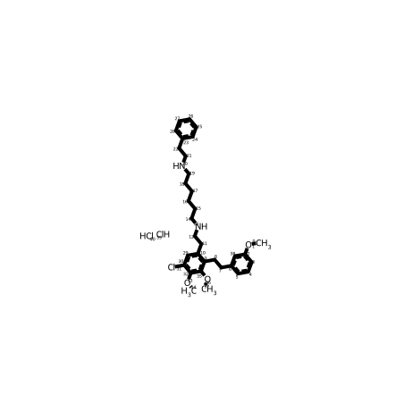 COc1cccc(CCc2c(CCNCCCCCCNCCc3ccccc3)cc(Cl)c(OC)c2OC)c1.Cl.Cl